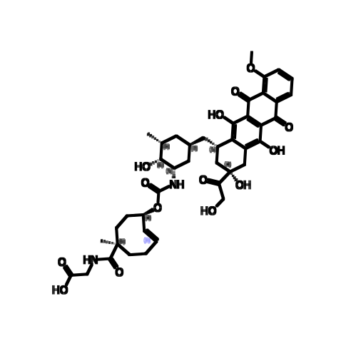 COc1cccc2c1C(=O)c1c(O)c3c(c(O)c1C2=O)C[C@@](O)(C(=O)CO)C[C@@H]3C[C@@H]1C[C@@H](C)[C@@H](O)[C@@H](NC(=O)O[C@H]2/C=C/CC[C@@](C)(C(=O)NCC(=O)O)CC2)C1